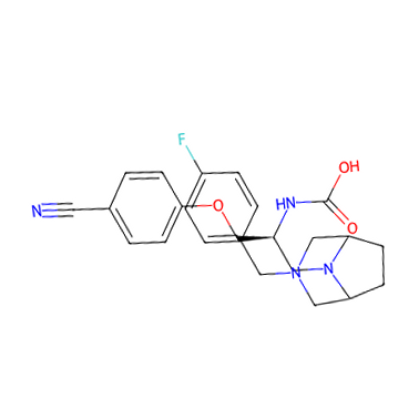 N#Cc1ccc(OC[C@H](CN2C3CCC2CN(Cc2ccc(F)cc2)C3)NC(=O)O)cc1